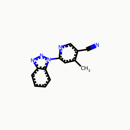 Cc1cc(-n2nnc3ccccc32)ncc1C#N